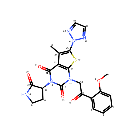 COc1ccccc1C(=O)Cn1c(=O)n([C@H]2CCNC2=O)c(=O)c2c(C)c(-n3nccn3)sc21